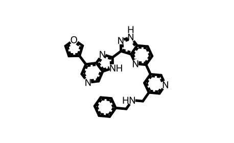 c1ccc(CNCc2cncc(-c3ccc4[nH]nc(-c5nc6c(-c7ccoc7)cncc6[nH]5)c4n3)c2)cc1